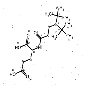 CC(C)(C)N(CCC(=O)N[C@H](CCC(=O)O)C(=O)O)C(C)(C)C